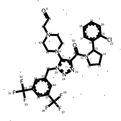 O=CCN1CCN(c2c(C(=O)N3CCCC3c3ccccc3Cl)nnn2Cc2cc(C(F)(F)F)cc(C(F)(F)F)c2)CC1